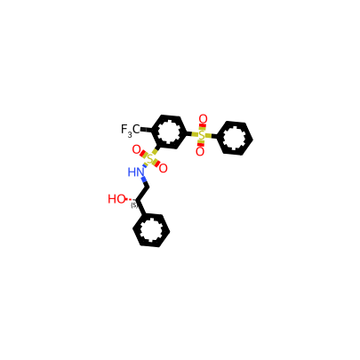 O=S(=O)(NC[C@@H](O)c1ccccc1)c1cc(S(=O)(=O)c2ccccc2)ccc1C(F)(F)F